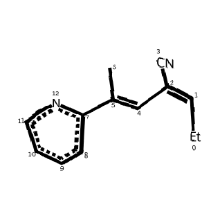 CC/C=C(C#N)\C=C(/C)c1ccccn1